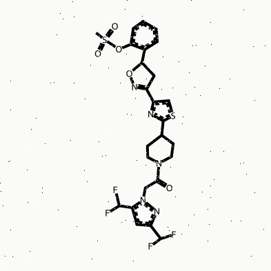 CS(=O)(=O)Oc1ccccc1C1CC(c2csc(C3CCN(C(=O)Cn4nc(C(F)F)cc4C(F)F)CC3)n2)=NO1